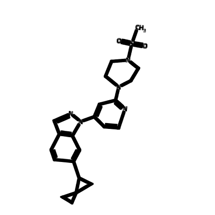 CS(=O)(=O)N1CCN(c2cc(-n3ncc4ccc(C5CC56CC6)cc43)ccn2)CC1